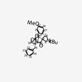 COc1ccc([C@@H]2CN(C(C)(C)C)C[C@@]2(F)C(=O)N2C(=O)OC[C@H]2Cc2ccccc2)cc1